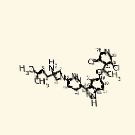 CC(C)=CCC1(N)CN(c2ccc(-c3n[nH]c4ccc(O[C@H](C)c5c(Cl)cncc5Cl)cc34)nn2)C1